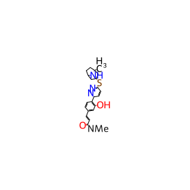 CNC(=O)/C=C/c1ccc(-c2ccc(S[C@H]3CC4CC[C@](C)(C3)N4)nn2)c(O)c1